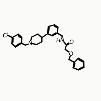 O=C(COCc1ccccc1)NCc1cccc(C2CCN(Cc3ccc(Cl)cc3)CC2)c1